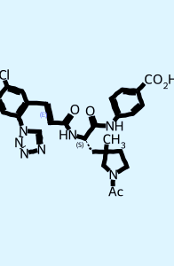 CC(=O)N1CCC(C)(C[C@H](NC(=O)/C=C/c2cc(Cl)ccc2-n2cnnn2)C(=O)Nc2ccc(C(=O)O)cc2)C1